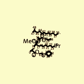 C=C(C)C(=O)OCCOc1ccccc1.C=C(CCCCCCCC(C)C)C(=O)OC.C=CCOC(=O)C=C.[CH2]CCCCCCCCCC(C)C